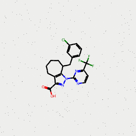 O=C(O)c1nn(-c2nccc(C(F)(F)F)n2)c2c1CCCCC2Cc1cccc(Cl)c1